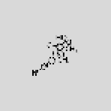 Cc1c(C(=O)O)cc(Cl)c2c1OC(C)([C@H]1CC[C@H](N3CC(C#N)C3)CC1)O2